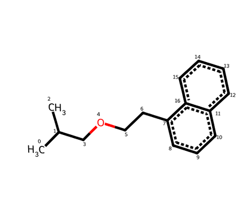 CC(C)COCCc1cccc2ccccc12